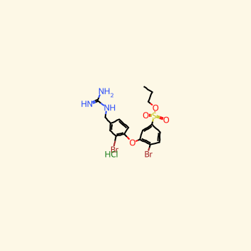 CCCOS(=O)(=O)c1ccc(Br)c(Oc2ccc(CNC(=N)N)cc2Br)c1.Cl